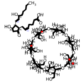 CCCCC[C@H](O)/C=C/[C@H]1[C@H](O)CC(=O)[C@@H]1C/C=C\CCCC(=O)O.OC[C@H]1O[C@@H]2O[C@H]3[C@H](O)[C@@H](O)[C@@H](O[C@H]4[C@H](O)[C@@H](O)[C@@H](O[C@H]5[C@H](O)[C@@H](O)[C@@H](O[C@H]6[C@H](O)[C@@H](O)[C@@H](O[C@H]7[C@H](O)[C@@H](O)[C@@H](O[C@H]8[C@H](O)[C@@H](O)[C@@H](O[C@H]1[C@H](O)[C@H]2O)O[C@@H]8CO)O[C@@H]7CO)O[C@@H]6CO)O[C@@H]5CO)O[C@@H]4CO)O[C@@H]3CO